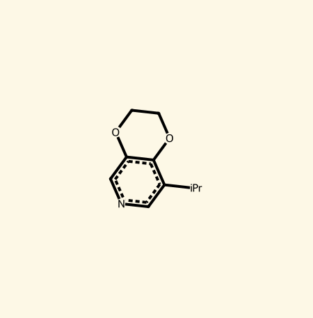 CC(C)c1cncc2c1OCCO2